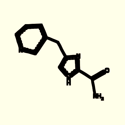 NC(=O)c1nc(Cc2cccnc2)c[nH]1